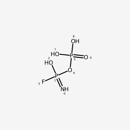 N=P(O)(F)OP(=O)(O)O